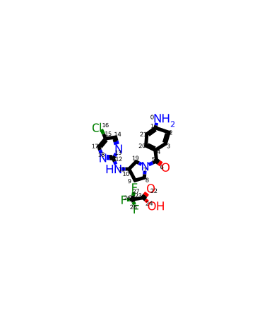 Nc1ccc(C(=O)N2CCC(Nc3ncc(Cl)cn3)C2)cc1.O=C(O)C(F)(F)F